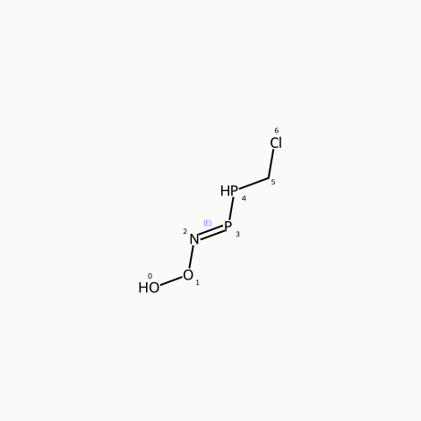 OO/N=P/PCCl